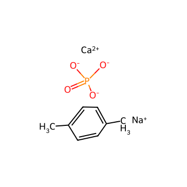 Cc1ccc(C)cc1.O=P([O-])([O-])[O-].[Ca+2].[Na+]